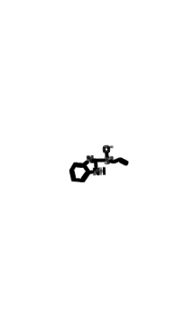 C=CC[S+]([O-])c1nc2ccccc2[nH]1